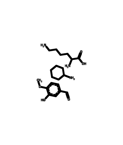 COc1ccc(C=O)cc1O.NC1CCCCC1.NCCCCC(N)C(=O)O